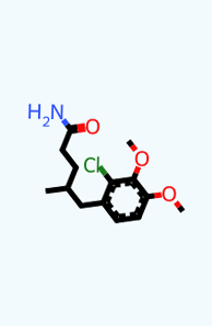 COc1ccc(CC(C)CCC(N)=O)c(Cl)c1OC